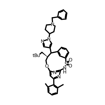 Cc1cccc(C)c1-c1cc2nc(n1)NS(=O)(=O)c1cccc(c1)C(c1cnn(C3CCN(Cc4ccccc4)CC3)c1)[C@H](CC(C)(C)C)CO2